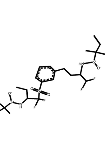 CCC(N[S+]([O-])C(C)(C)C)C(F)(F)S(=O)(=O)c1cccc(CCC(N[S+]([O-])C(C)(C)CC)C(F)F)c1